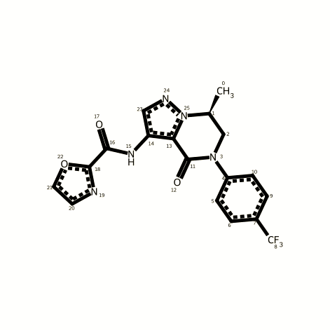 C[C@H]1CN(c2ccc(C(F)(F)F)cc2)C(=O)c2c(NC(=O)c3ncco3)cnn21